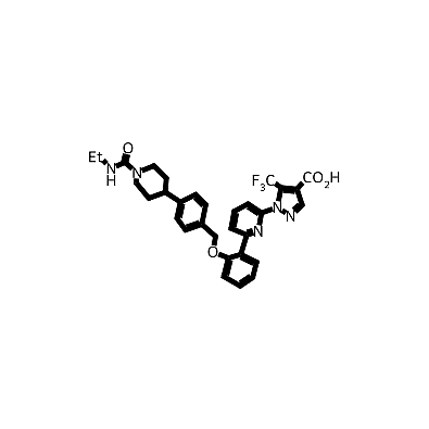 CCNC(=O)N1CCC(c2ccc(COc3ccccc3-c3cccc(-n4ncc(C(=O)O)c4C(F)(F)F)n3)cc2)CC1